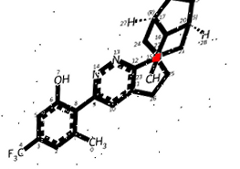 Cc1cc(C(F)(F)F)cc(O)c1-c1cc2c(nn1)N(C1[C@@H]3CC[C@H]1CN(C)C3)CC2